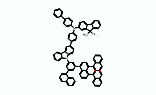 CC1(C)c2ccccc2-c2ccc(N(c3ccc(-c4ccccc4)cc3)c3ccc(-c4ccc5c(c4)c4ccccc4n5-c4cc(-c5cccc6ccccc56)cc(-c5ccc(-c6cccc7ccccc67)c6c(-c7cccc8ccccc78)cccc56)c4)cc3)cc21